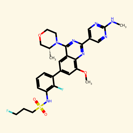 CNc1ncc(-c2nc(N3CCOC[C@H]3C)c3cc(-c4cccc(NS(=O)(=O)CCCF)c4F)cc(OC)c3n2)cn1